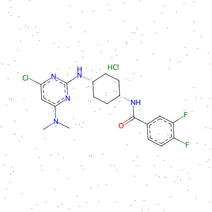 CN(C)c1cc(Cl)nc(N[C@H]2CC[C@@H](NC(=O)c3ccc(F)c(F)c3)CC2)n1.Cl